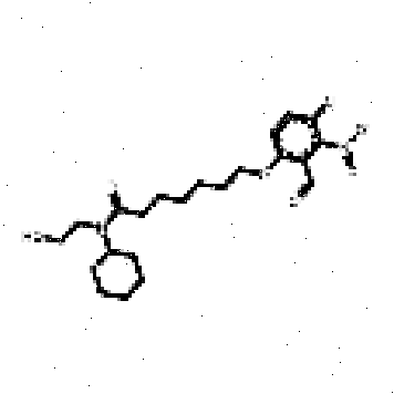 O=Cc1c(OCCCCCCC(=O)N(CCO)C2CCCCC2)ccc(Cl)c1[N+](=O)[O-]